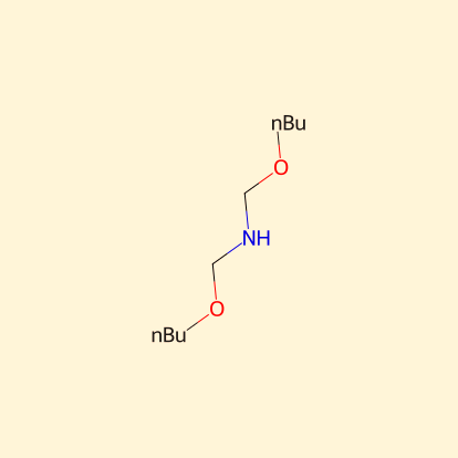 CCCCOCNCOCCCC